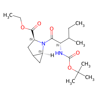 CCOC(=O)[C@@H]1CC2C[C@@H]2N1C(=O)[C@@H](NC(=O)OC(C)(C)C)C(C)CC